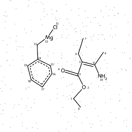 CCOC(=O)C(CC)=C(C)N.[Cl][Mg][CH2]c1ccccc1